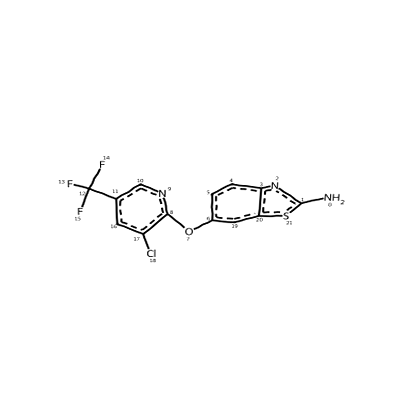 Nc1nc2ccc(Oc3ncc(C(F)(F)F)cc3Cl)cc2s1